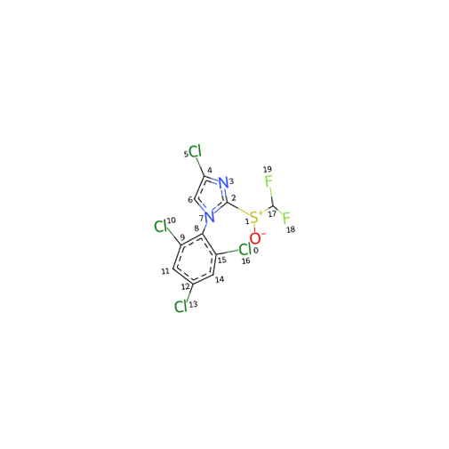 [O-][S+](c1nc(Cl)cn1-c1c(Cl)cc(Cl)cc1Cl)C(F)F